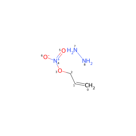 C=CCO[N+](=O)[O-].NN